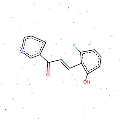 O=C(/C=C/c1c(O)cccc1F)c1cccnc1